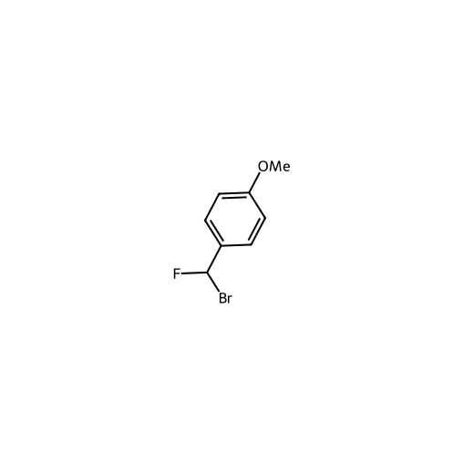 COc1ccc(C(F)Br)cc1